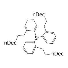 CCCCCCCCCCCCc1ccccc1[Si](c1ccccc1CCCCCCCCCCCC)c1ccccc1CCCCCCCCCCCC